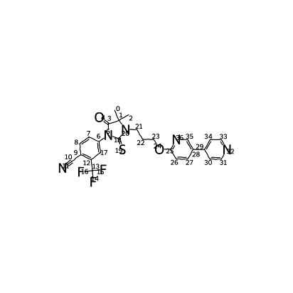 CC1(C)C(=O)N(c2ccc(C#N)c(C(F)(F)F)c2)C(=S)N1CCCOc1ccc(-c2ccncc2)cn1